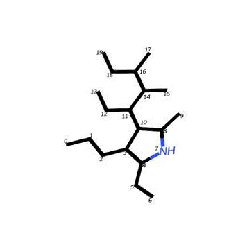 CCCC1C(CC)NC(C)C1C(CC)C(C)C(C)CC